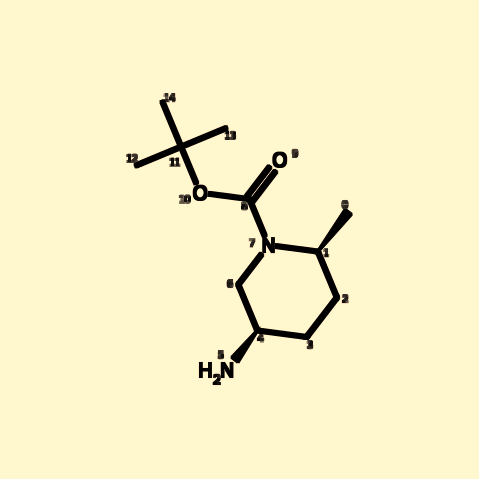 C[C@H]1CC[C@@H](N)CN1C(=O)OC(C)(C)C